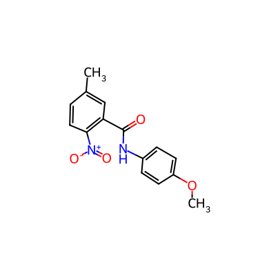 COc1ccc(NC(=O)c2cc(C)ccc2[N+](=O)[O-])cc1